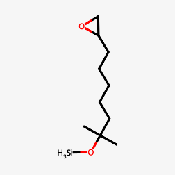 CC(C)(CCCCCC1CO1)O[SiH3]